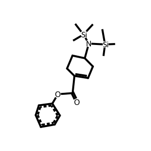 C[Si](C)(C)N(C1CC=C(C(=O)Oc2ccccc2)CC1)[Si](C)(C)C